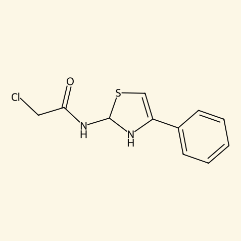 O=C(CCl)NC1NC(c2ccccc2)=CS1